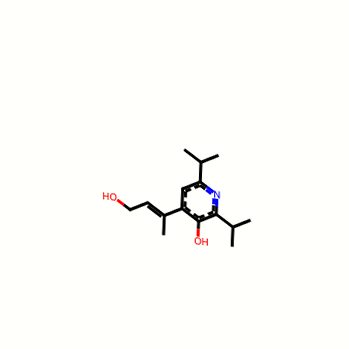 C/C(=C\CO)c1cc(C(C)C)nc(C(C)C)c1O